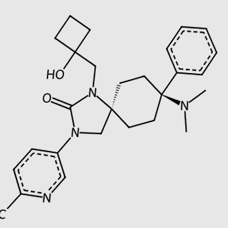 CN(C)[C@]1(c2ccccc2)CC[C@]2(CC1)CN(c1ccc(C#N)nc1)C(=O)N2CC1(O)CCC1